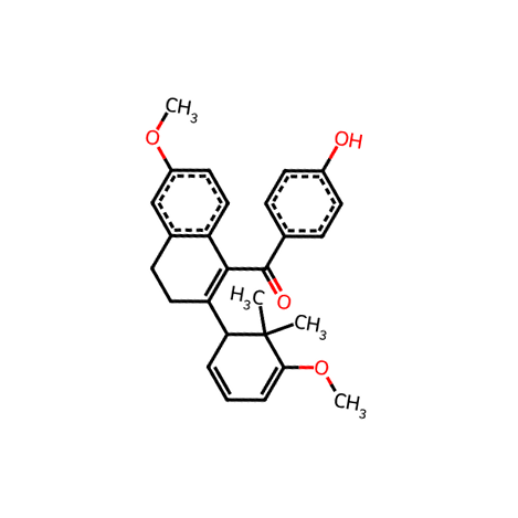 COC1=CC=CC(C2=C(C(=O)c3ccc(O)cc3)c3ccc(OC)cc3CC2)C1(C)C